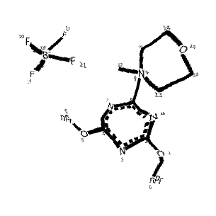 CCCOc1nc(OCCC)nc([N+]2(C)CCOCC2)n1.F[B-](F)(F)F